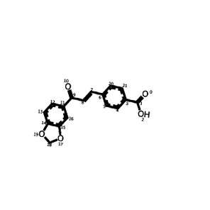 O=C(O)c1ccc(C=CC(=O)c2ccc3c(c2)OCO3)cc1